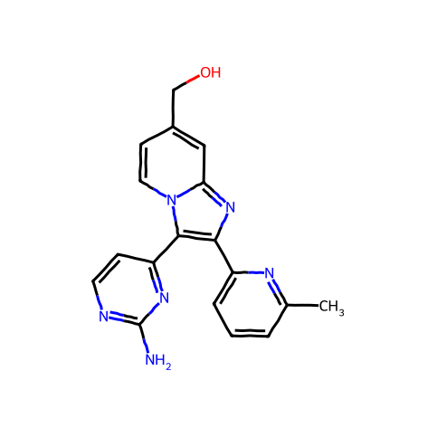 Cc1cccc(-c2nc3cc(CO)ccn3c2-c2ccnc(N)n2)n1